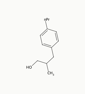 CCCc1ccc(CC(C)CO)cc1